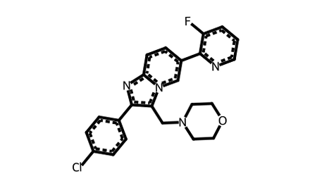 Fc1cccnc1-c1ccc2nc(-c3ccc(Cl)cc3)c(CN3CCOCC3)n2c1